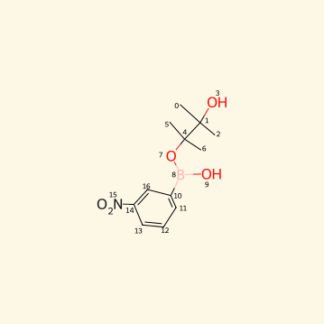 CC(C)(O)C(C)(C)OB(O)c1cccc([N+](=O)[O-])c1